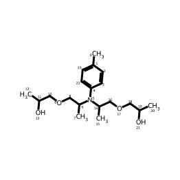 Cc1ccc(N(C(C)COCC(C)O)C(C)COCC(C)O)cc1